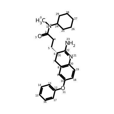 CN(C(=O)CC[C@H]1Cc2cc(Oc3ccccc3)ccc2N=C1N)C1CCCCC1